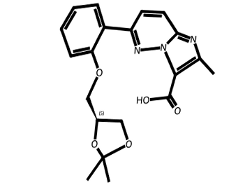 Cc1nc2ccc(-c3ccccc3OC[C@H]3COC(C)(C)O3)nn2c1C(=O)O